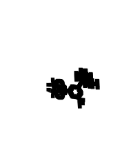 CC1(C)OB(c2cc(F)cc(-c3nnn[nH]3)c2)OC1(C)C